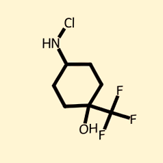 OC1(C(F)(F)F)CCC(NCl)CC1